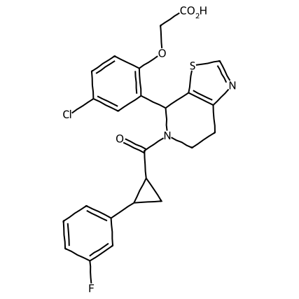 O=C(O)COc1ccc(Cl)cc1C1c2scnc2CCN1C(=O)C1CC1c1cccc(F)c1